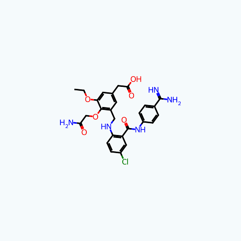 CCOc1cc(CC(=O)O)cc(CNc2ccc(Cl)cc2C(=O)Nc2ccc(C(=N)N)cc2)c1OCC(N)=O